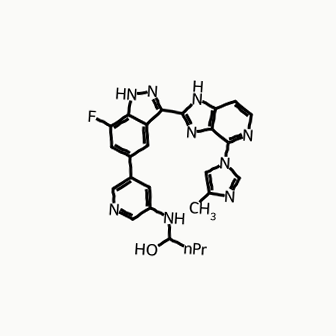 CCCC(O)Nc1cncc(-c2cc(F)c3[nH]nc(-c4nc5c(-n6cnc(C)c6)nccc5[nH]4)c3c2)c1